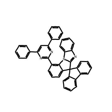 c1ccc(-c2cc(-c3ccccc3)nc(-c3cccc4c3-n3c(nc5ccccc53)C43c4ccccc4-c4ccccc43)n2)cc1